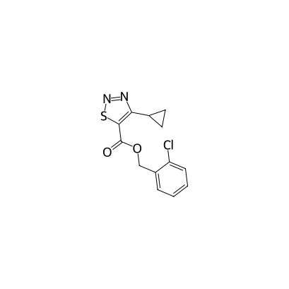 O=C(OCc1ccccc1Cl)c1snnc1C1CC1